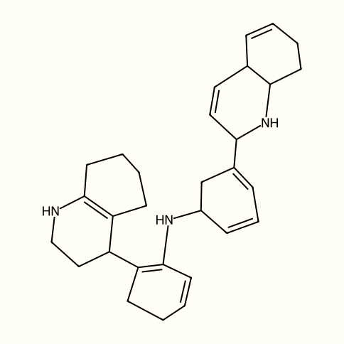 C1=CC(NC2=C(C3CCNC4=C3CCCC4)CCC=C2)CC(C2C=CC3C=CCCC3N2)=C1